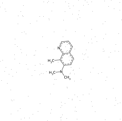 Cc1c(N(C)C)ccc2cccnc12